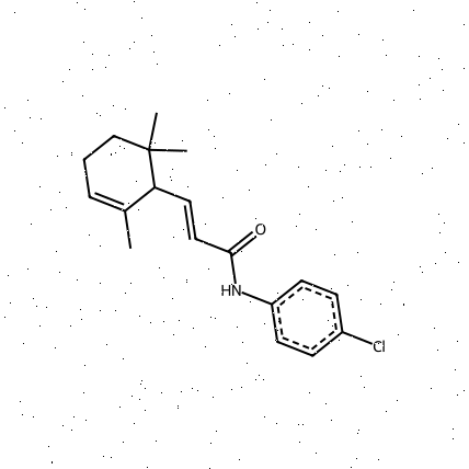 CC1=CCCC(C)(C)C1C=CC(=O)Nc1ccc(Cl)cc1